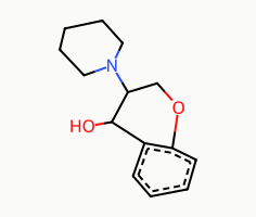 OC1c2ccccc2OCC1N1CCCCC1